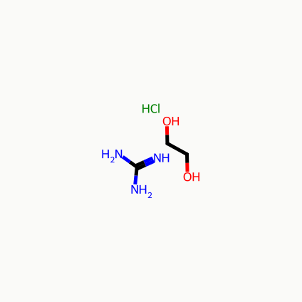 Cl.N=C(N)N.OCCO